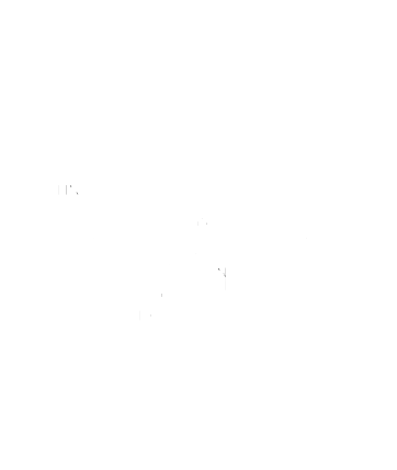 CC(C(=O)Nc1ccc(F)cc1)c1ccc2c(c1)CCCN2.Cl